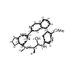 COc1ccc(NC(O)[C@@H](C)N(C)c2nc(-c3cc4ccccc4cn3)nc3c2CCC3)cn1